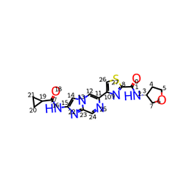 O=C(N[C@@H]1CCOC1)c1nc(-c2cn3cc(NC(=O)C4CC4)nc3cn2)cs1